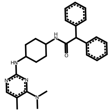 Cc1cnc(NC2CCC(NC(=O)C(c3ccccc3)c3ccccc3)CC2)nc1N(C)C